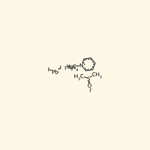 CS(C)=O.C[n+]1ccccc1.[I-].[I-].[I][Pb][I].[NH4+]